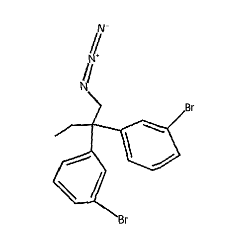 CCC(CN=[N+]=[N-])(c1cccc(Br)c1)c1cccc(Br)c1